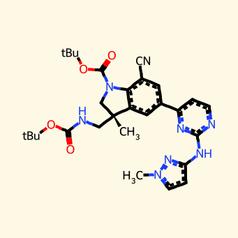 Cn1ccc(Nc2nccc(-c3cc(C#N)c4c(c3)[C@](C)(CNC(=O)OC(C)(C)C)CN4C(=O)OC(C)(C)C)n2)n1